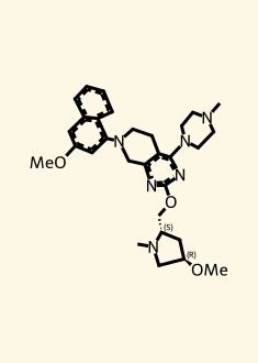 COc1cc(N2CCc3c(nc(OC[C@@H]4C[C@@H](OC)CN4C)nc3N3CCN(C)CC3)C2)c2ccccc2c1